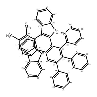 Cc1cc2c(c(-c3c(-c4c(-c5ccccc5)cc(-c5ccccc5)c(-c5ccccc5)c4-c4ccnnn4)[se]c4ccccc34)c1C)Cc1ccccc1-2